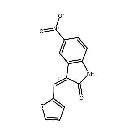 O=C1Nc2ccc([N+](=O)[O-])cc2/C1=C/c1cccs1